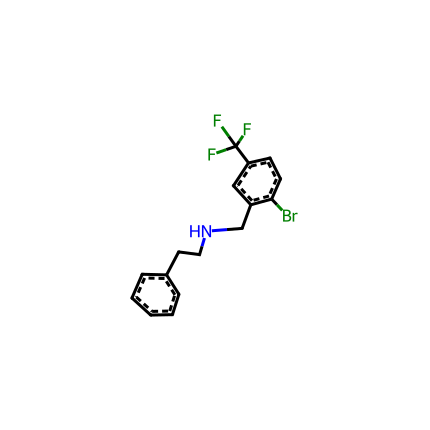 FC(F)(F)c1ccc(Br)c(CNCCc2ccccc2)c1